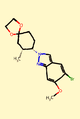 COc1cc2nn([C@H]3CCC4(C[C@H]3C)OCCO4)cc2cc1Br